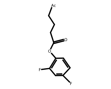 CC(=O)CCCC(=O)Oc1ccc(F)cc1F